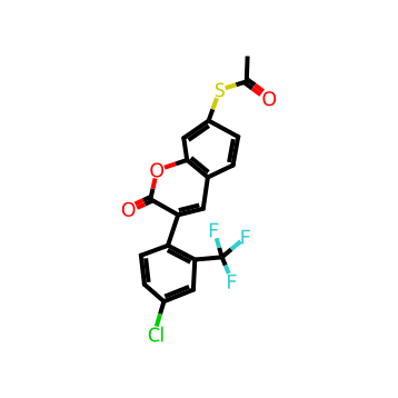 CC(=O)Sc1ccc2cc(-c3ccc(Cl)cc3C(F)(F)F)c(=O)oc2c1